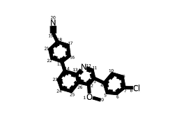 COc1c(-c2ccc(Cl)cc2)cnc2c(-c3ccc(C#N)cc3)cccc12